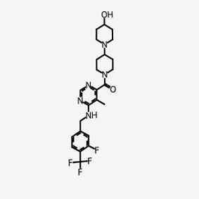 Cc1c(NCc2ccc(C(F)(F)F)c(F)c2)ncnc1C(=O)N1CCC(N2CCC(O)CC2)CC1